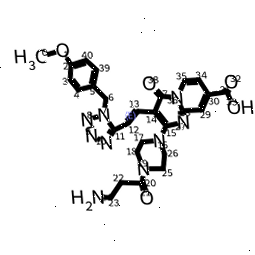 COc1ccc(Cn2nnnc2/C=C/c2c(N3CCN(C(=O)CCN)CC3)nc3cc(C(=O)O)ccn3c2=O)cc1